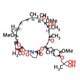 CO[C@H]1C[C@@H]2CC[C@@H](C)[C@@](O)(O2)C(=O)C(=O)N2CCCC[C@H]2C(=O)O[C@H]([C@H](C)C[C@@H]2CC[C@H](OCC(C)(CO)CO)[C@H](OC)C2)CC(=O)[C@H](C)/C=C(\C)[C@@H](O)[C@@H](OC)C(=O)[C@H](C)C[C@H](C)/C=C/C=C/C=C/1C